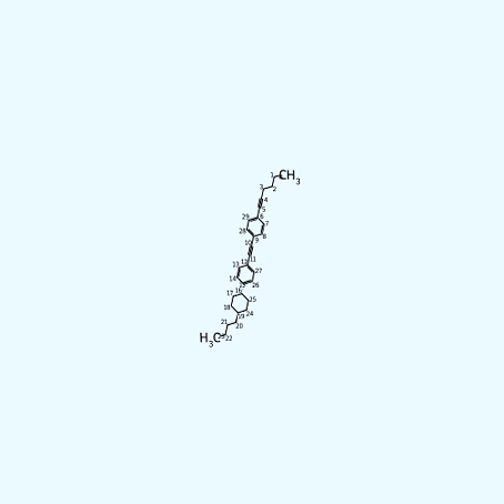 CCCCC#Cc1ccc(C#Cc2ccc([C@H]3CC[C@H](CCCC)CC3)cc2)cc1